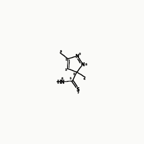 CC1=CC(C)(C([NH])=S)N=N1